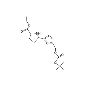 CCOC(=O)C1CSC(c2ccc(COC(=O)OC(C)(C)C)o2)N1